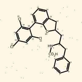 O=C(O)NC(Cc1ccccc1)CC1Cc2cccc(-c3c(Cl)cc(Cl)cc3Cl)c2O1